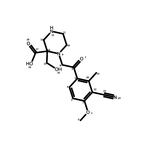 COc1ccc(C(=O)CN2CCNCC2(CO)C(=O)O)c(C)c1C#N